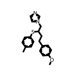 COc1ccc(CCC(Cn2ccnc2)Sc2ccc(C)cc2)cc1